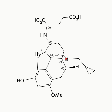 COc1cc(O)c2c3c1C[C@@H]1[C@@H]4CC[C@@H](N[C@@H](CCC(=O)O)C(=O)O)[C@H](O2)[C@]34CCN1CC1CC1